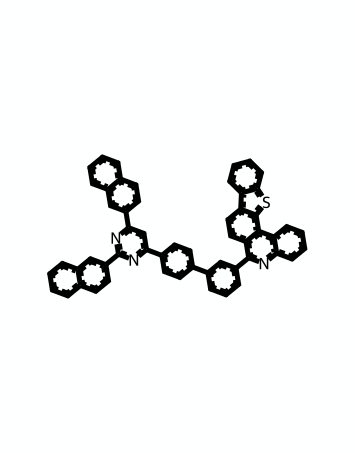 c1cc(-c2ccc(-c3cc(-c4ccc5ccccc5c4)nc(-c4ccc5ccccc5c4)n3)cc2)cc(-c2nc3ccccc3c3c2ccc2c4ccccc4sc23)c1